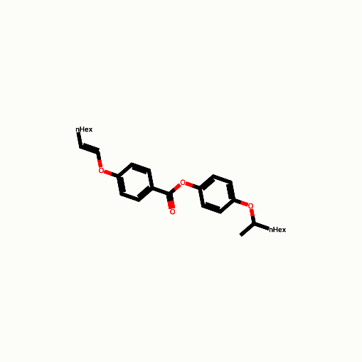 CCCCCCC=COc1ccc(C(=O)Oc2ccc(OC(C)CCCCCC)cc2)cc1